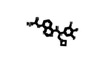 NC(=O)Oc1cccc2c(N[C@H](CN3CCC3)c3cc(F)c(F)c(F)c3)ncnc12